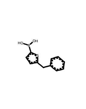 OB(O)c1ccc(Cc2ccccc2)s1